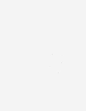 C#Cc1ccc(C(=O)c2ccc(C)cc2)cc1